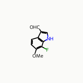 COc1ccc2c(C=O)c[nH]c2c1F